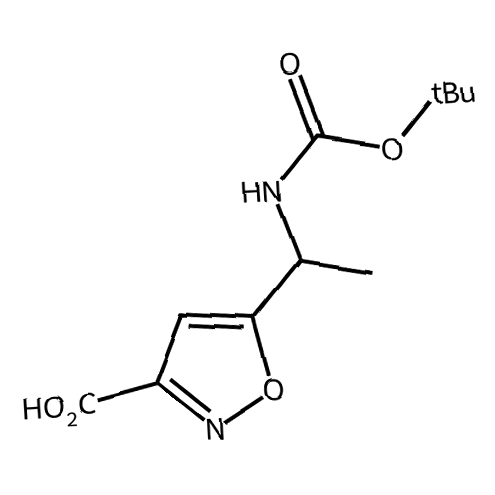 CC(NC(=O)OC(C)(C)C)c1cc(C(=O)O)no1